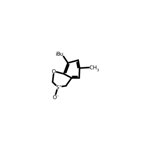 CCC(C)c1cc(C)cc2c1OC[S+]([O-])C2